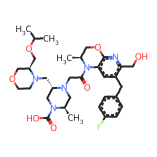 CC(C)OC[C@@H]1COCCN1C[C@H]1CN(C(=O)O)[C@H](C)CN1CC(=O)N1c2cc(Cc3ccc(F)cc3)c(CO)nc2OC[C@@H]1C